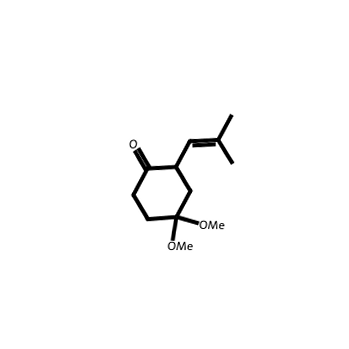 COC1(OC)CCC(=O)C(C=C(C)C)C1